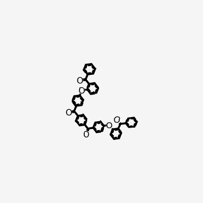 O=C(c1ccc(Oc2ccccc2C(=O)c2ccccc2)cc1)c1ccc(C(=O)c2ccc(Oc3ccccc3C(=O)c3ccccc3)cc2)cc1